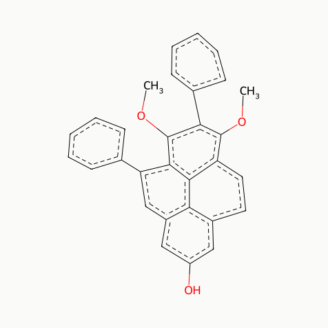 COc1c(-c2ccccc2)c(OC)c2c(-c3ccccc3)cc3cc(O)cc4ccc1c2c43